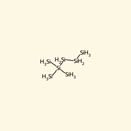 [SiH3][SiH2][SiH2][Si]([SiH3])([SiH3])[SiH3]